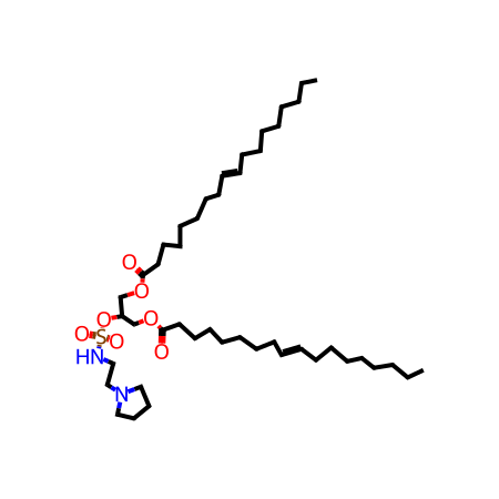 CCCCCCCCC=CCCCCCCCC(=O)OCC(COC(=O)CCCCCCCC=CCCCCCCCC)OS(=O)(=O)NCCN1CCCC1